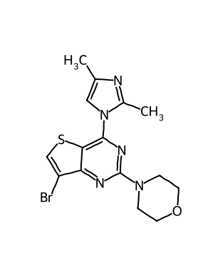 Cc1cn(-c2nc(N3CCOCC3)nc3c(Br)csc23)c(C)n1